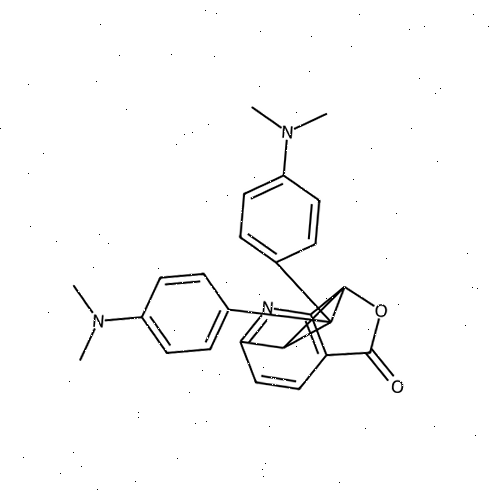 CN(C)c1ccc(C2(c3ccc(N(C)C)cc3)C3c4ccc5c(n4)C32OC5=O)cc1